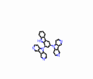 c1ccc2c(c1)[nH]c1c(-n3c4ccncc4c4cnccc43)cc(-n3c4ccncc4c4cnccc43)cc12